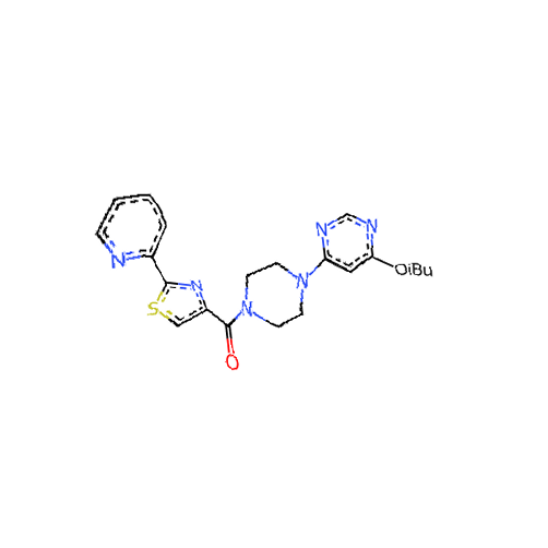 CC(C)COc1cc(N2CCN(C(=O)c3csc(-c4ccccn4)n3)CC2)ncn1